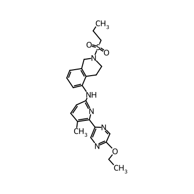 CCCS(=O)(=O)N1CCc2c(cccc2Nc2ccc(C)c(-c3cnc(OCC)cn3)n2)C1